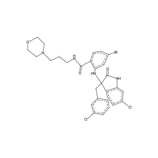 O=C(NCCCN1CCOCC1)c1ccc(Br)cc1NC1(Cc2cccc(Cl)c2)C(=O)Nc2cc(Cl)ccc21